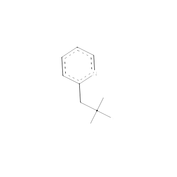 C[C@H](c1ccccn1)C(F)(F)F